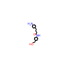 Nc1ccc(CCCC(=O)Nc2ccc(CCO)cc2)cc1